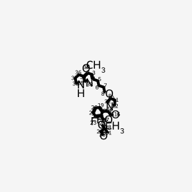 COc1cc(CCCCOC2CCN(C(C(=O)O)c3cccc(F)c3COC3(C)COC3)C2)nc2c1CCCN2